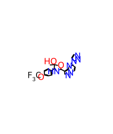 CC(C)(O)[C@@H](NC(=O)c1cnn2ccc(-n3ccnn3)nc12)c1ccc(OC(F)(F)F)cc1